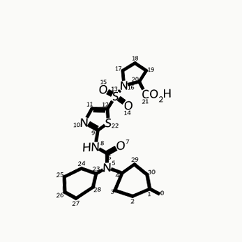 CC1CCC(N(C(=O)Nc2ncc(S(=O)(=O)N3CCCC3C(=O)O)s2)C2CCCCC2)CC1